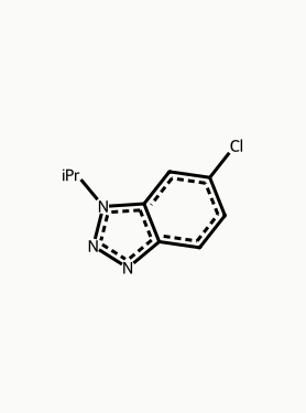 CC(C)n1nnc2ccc(Cl)cc21